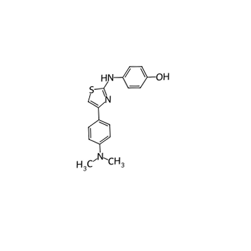 CN(C)c1ccc(-c2csc(Nc3ccc(O)cc3)n2)cc1